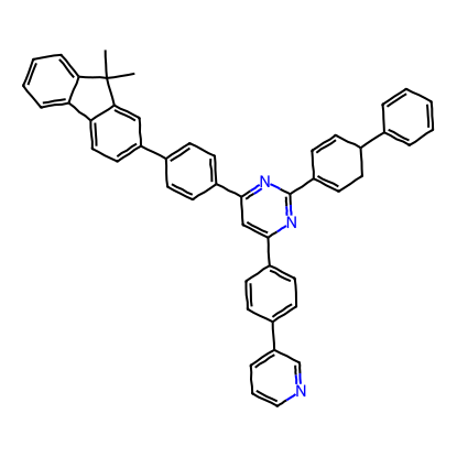 CC1(C)c2ccccc2-c2ccc(-c3ccc(-c4cc(-c5ccc(-c6cccnc6)cc5)nc(C5=CCC(c6ccccc6)C=C5)n4)cc3)cc21